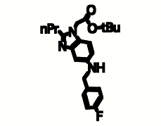 CCCc1nc2cc(NCc3ccc(F)cc3)ccc2n1CC(=O)OC(C)(C)C